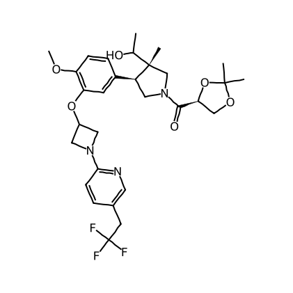 COc1ccc([C@@H]2CN(C(=O)[C@@H]3COC(C)(C)O3)C[C@@]2(C)C(C)O)cc1OC1CN(c2ccc(CC(F)(F)F)cn2)C1